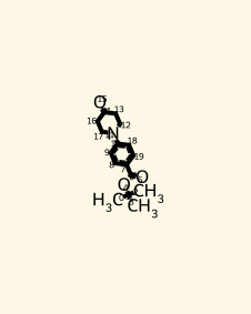 CC(C)(C)OC(=O)c1ccc(N2CCC(=O)CC2)cc1